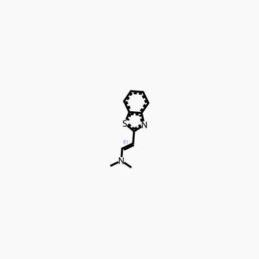 CN(C)/C=C/c1nc2ccccc2s1